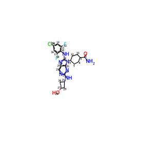 NC(=O)C1CCC(n2c(Nc3c(F)cc(Cl)cc3F)nc3cnc(NC4CC(O)C4)nc32)CC1